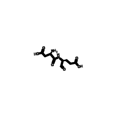 N[C@@H](CC(=O)O)C(=O)N[C@H]([C]=O)CCC(=O)O